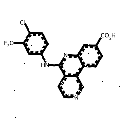 O=C(O)c1ccc2c(c1)nc(Nc1ccc(Cl)c(C(F)(F)F)c1)c1ccncc12